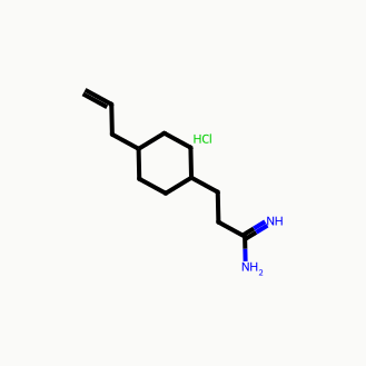 C=CCC1CCC(CCC(=N)N)CC1.Cl